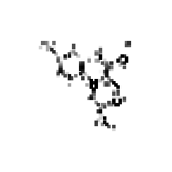 COC(=O)CN(c1ccc(Cl)cc1)[C@H](C)C(=O)OC